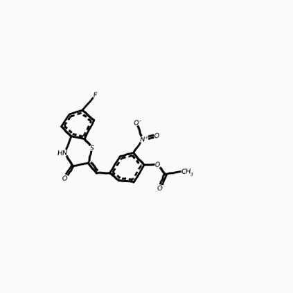 CC(=O)Oc1ccc(C=C2Sc3cc(F)ccc3NC2=O)cc1[N+](=O)[O-]